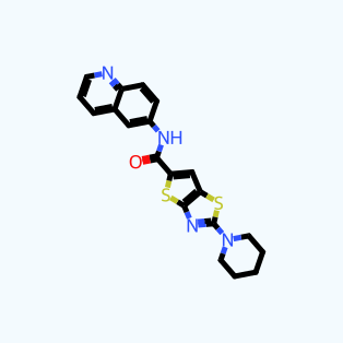 O=C(Nc1ccc2ncccc2c1)c1cc2sc(N3CCCCC3)nc2s1